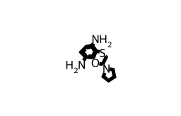 Nc1ccc(N)c2c1OC(N1CCCC1)CS2